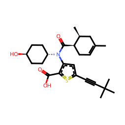 CC1=CC[C@@H](C(=O)N(c2cc(C#CC(C)(C)C)sc2C(=O)O)[C@H]2CC[C@H](O)CC2)[C@@H](C)C1